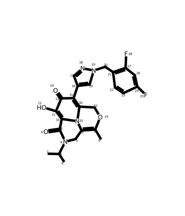 CC1=C2CN(C(C)C)C(=O)c3c(O)c(=O)c(-c4cnn(Cc5ccc(F)cc5F)c4)c(n32)CO1